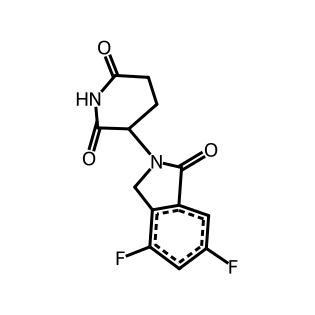 O=C1CCC(N2Cc3c(F)cc(F)cc3C2=O)C(=O)N1